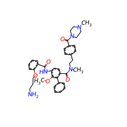 COc1c(NC(=O)c2ccccc2OCCCN)ccc(C(=O)N(C)CCc2ccc(C(=O)N3CCN(C)CC3)cc2)c1-c1ccccc1